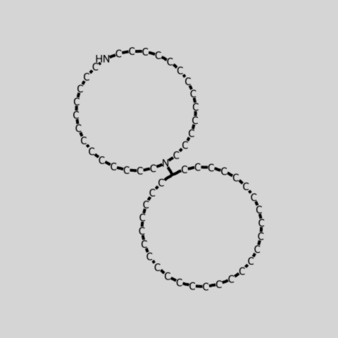 C1CCCCCCCCCCCCCC(N2CCCCCCCCCCCCCNCCCCCCCCCCCCC2)CCCCCCCCCCCCC1